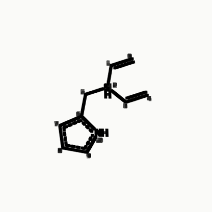 C=C[SiH](C=C)Cc1ccc[nH]1